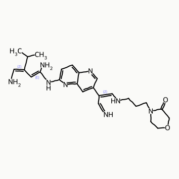 CC(C)C(=C/N)/C=C(\N)Nc1ccc2ncc(/C(C=N)=C/NCCCN3CCOCC3=O)cc2n1